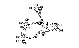 CC(=O)NC1C(OCCOCCn2cc(CN(CCCC[C@@H](C(=O)O)N(Cc3cn(CCOCCOC4OC(CO)C(O)C(O)C4NC(C)=O)nn3)Cc3cn(CCOCCOC4OC(CO)C(O)C(O)C4NC(C)=O)nn3)Cc3cn(CCOCCOC4OC(CO)C(O)C(O)C4NC(C)=O)nn3)nn2)OC(CO)C(O)C1O